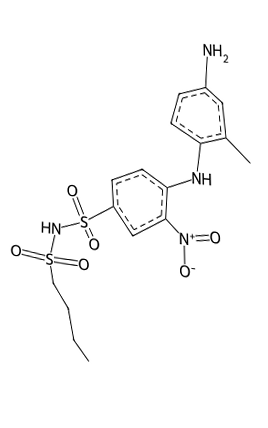 CCCCS(=O)(=O)NS(=O)(=O)c1ccc(Nc2ccc(N)cc2C)c([N+](=O)[O-])c1